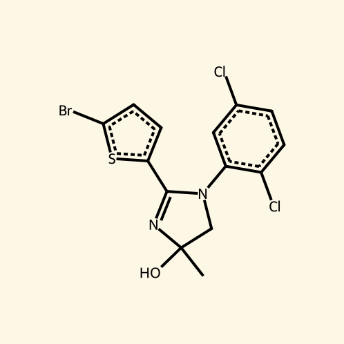 CC1(O)CN(c2cc(Cl)ccc2Cl)C(c2ccc(Br)s2)=N1